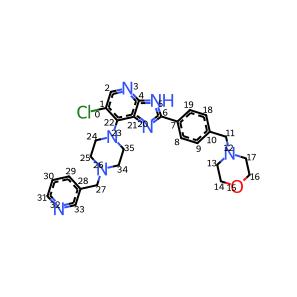 Clc1cnc2[nH]c(-c3ccc(CN4CCOCC4)cc3)nc2c1N1CCN(Cc2cccnc2)CC1